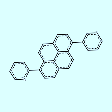 c1ccc(-c2ccc3ccc4c(-c5cccnc5)ccc5ccc2c3c54)nc1